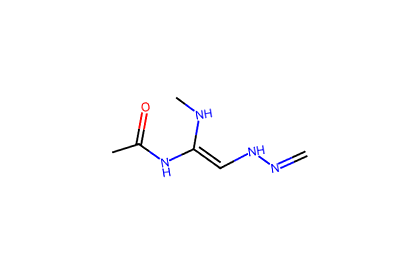 C=NN/C=C(\NC)NC(C)=O